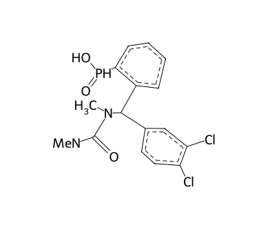 CNC(=O)N(C)C(c1ccc(Cl)c(Cl)c1)c1ccccc1[PH](=O)O